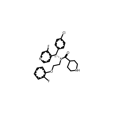 O=C(C1CCNCC1)N(CCOc1ccccc1F)[C@@H](c1ccc(Cl)cc1)c1ccncc1F